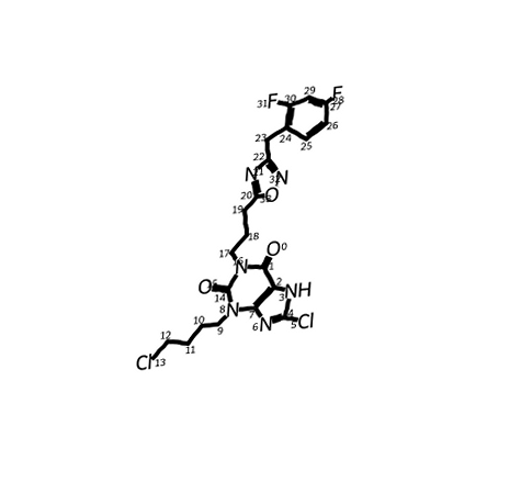 O=c1c2[nH]c(Cl)nc2n(CCCCCl)c(=O)n1CCCc1nc(Cc2ccc(F)cc2F)no1